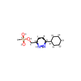 CS(=O)(=O)OCc1ccc(C2CCCCC2)nn1